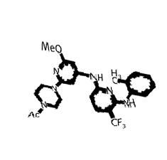 COc1cc(Nc2ccc(C(F)(F)F)c(Nc3ccccc3C)n2)cc(N2CCN(C(C)=O)CC2)n1